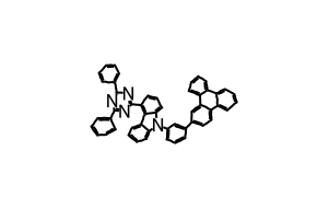 c1ccc(-c2nc(-c3ccccc3)nc(-c3cccc4c3c3ccccc3n4-c3cccc(-c4ccc5c6ccccc6c6ccccc6c5c4)c3)n2)cc1